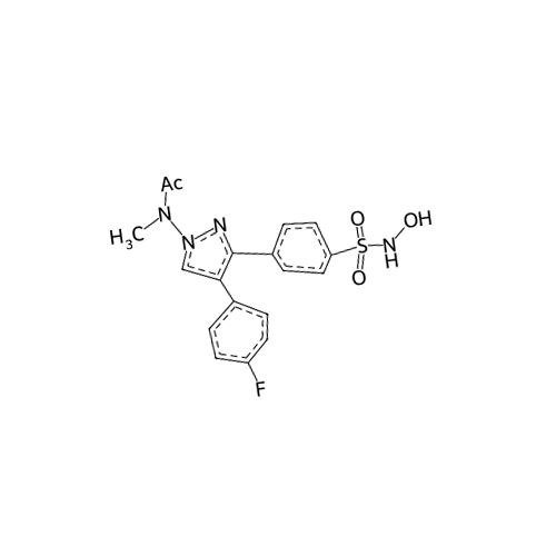 CC(=O)N(C)n1cc(-c2ccc(F)cc2)c(-c2ccc(S(=O)(=O)NO)cc2)n1